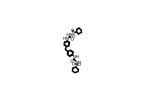 O=C(Nc1ccc(Cc2ccc(NC(=O)NS(=O)(=O)C3CCCCC3)cc2)cc1)NS(=O)(=O)C1CCCCC1